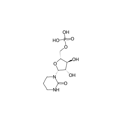 O=C1NCCCN1[C@@H]1O[C@H](COP(=O)(O)O)[C@@H](O)[C@@H]1O